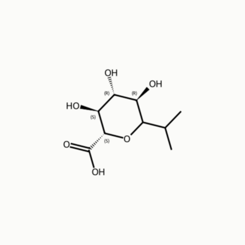 CC(C)C1O[C@H](C(=O)O)[C@@H](O)[C@H](O)[C@H]1O